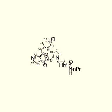 CCCNC(=O)NCCN1CCC[C@@H]1Cn1nc(Cc2ccc(Cl)cc2)c2cnccc2c1=O